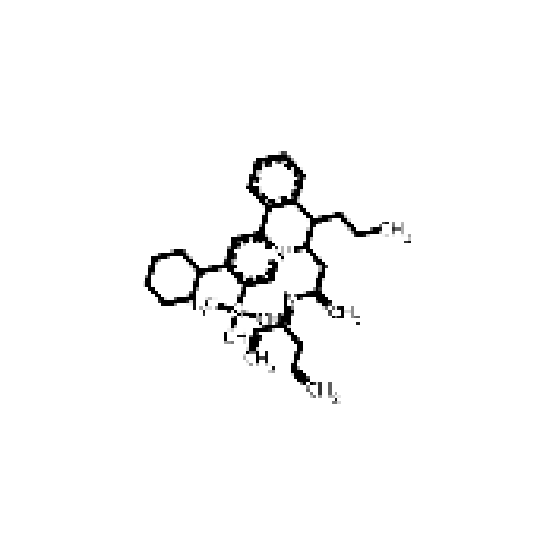 C=CC/C(C=C)=N\C(=C)CC1C(CCC)c2ccccc2-c2cc(C3CCCCC3)c([Si](C)(C)C)c[n+]21